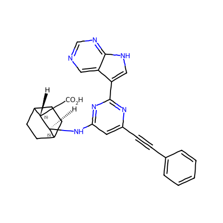 O=C(O)[C@H]1C2CCC(CC2)[C@@H]1Nc1cc(C#Cc2ccccc2)nc(-c2c[nH]c3ncncc23)n1